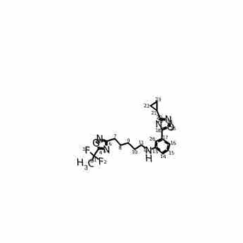 CC(F)(F)c1nc(CCCCCNc2cccc(-c3nc(C4CC4)no3)c2)no1